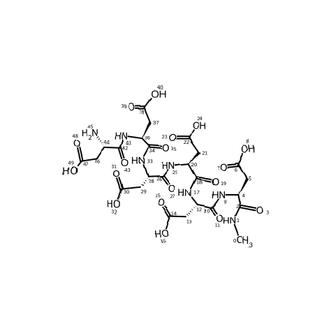 CNC(=O)[C@H](CC(=O)O)NC(=O)[C@H](CC(=O)O)NC(=O)[C@H](CC(=O)O)NC(=O)[C@H](CC(=O)O)NC(=O)[C@H](CC(=O)O)NC(=O)[C@@H](N)CC(=O)O